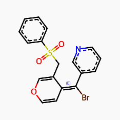 O=S(=O)(CC1=COC=C/C1=C(\Br)c1cccnc1)c1ccccc1